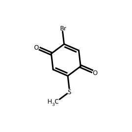 CSC1=CC(=O)C(Br)=CC1=O